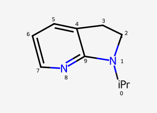 CC(C)N1[CH]Cc2cccnc21